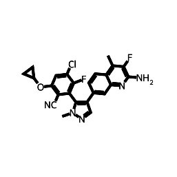 Cc1c(F)c(N)nc2cc(-c3cnn(C)c3-c3c(F)c(Cl)cc(OC4CC4)c3C#N)ccc12